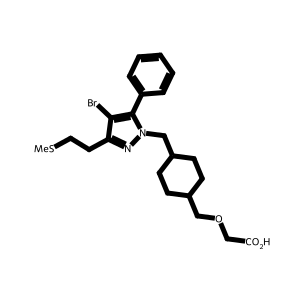 CSCCc1nn(CC2CCC(COCC(=O)O)CC2)c(-c2ccccc2)c1Br